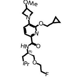 COC1CN(c2ccc(C(=O)N[C@@H](COCCF)CC(C)C)nc2OCC2CC2)C1